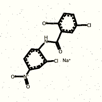 O=C(Nc1ccc([N+](=O)[O-])cc1Cl)c1cc(Cl)ccc1[O-].[Na+]